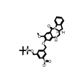 COc1cc2c(cc1OCc1cc(CO[Si](C)(C)C(C)(C)C)cc([N+](=O)[O-])c1)NC[C@@H]1Cc3ccccc3N1C2=O